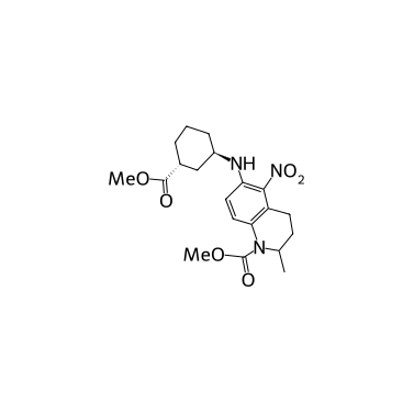 COC(=O)[C@@H]1CCC[C@@H](Nc2ccc3c(c2[N+](=O)[O-])CCC(C)N3C(=O)OC)C1